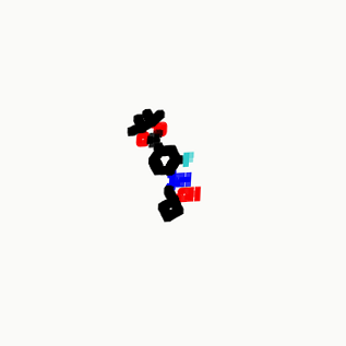 CC1(C)OB(c2ccc(NCC3(O)CCC3)c(F)c2)OC1(C)C